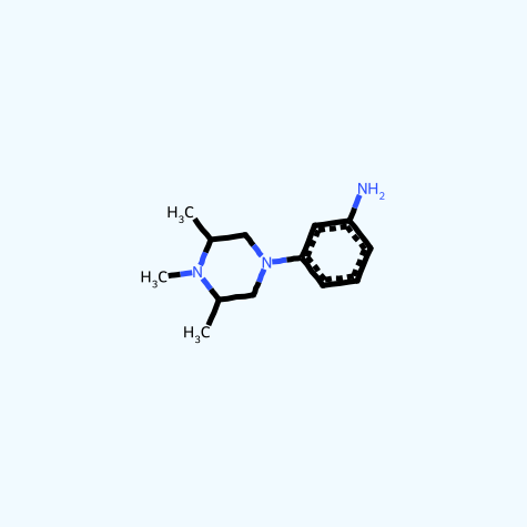 CC1CN(c2cccc(N)c2)CC(C)N1C